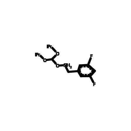 CC(C)OC(O[SiH2]Cc1cc(F)cc(F)c1)OC(C)C